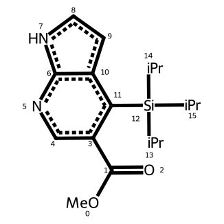 COC(=O)c1cnc2[nH]ccc2c1[Si](C(C)C)(C(C)C)C(C)C